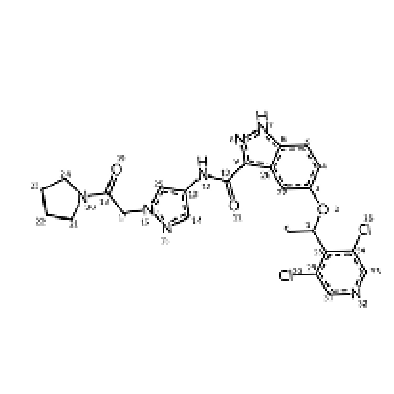 CC(Oc1ccc2[nH]nc(C(=O)Nc3cnn(CC(=O)N4CCCC4)c3)c2c1)c1c(Cl)cncc1Cl